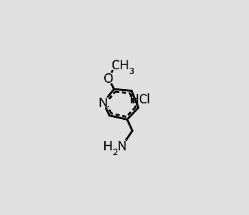 COc1ccc(CN)cn1.Cl